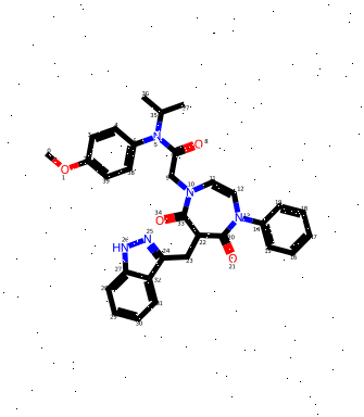 COc1ccc(N(C(=O)CN2C=CN(c3ccccc3)C(=O)C(Cc3n[nH]c4ccccc34)C2=O)C(C)C)cc1